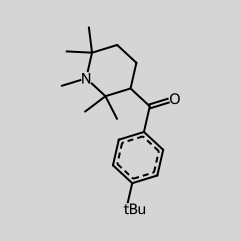 CN1C(C)(C)CCC(C(=O)c2ccc(C(C)(C)C)cc2)C1(C)C